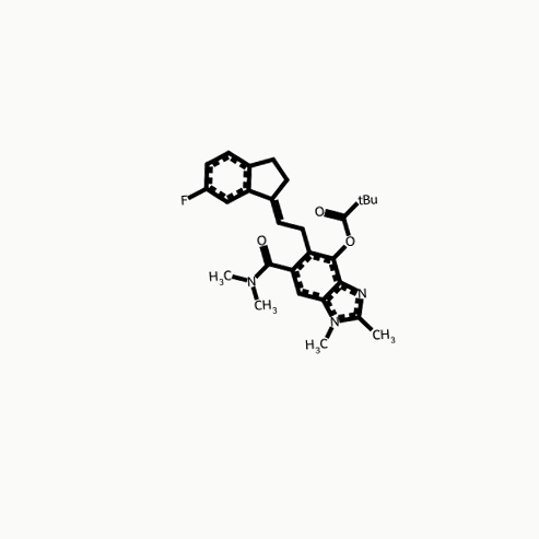 Cc1nc2c(OC(=O)C(C)(C)C)c(CC=C3CCc4ccc(F)cc43)c(C(=O)N(C)C)cc2n1C